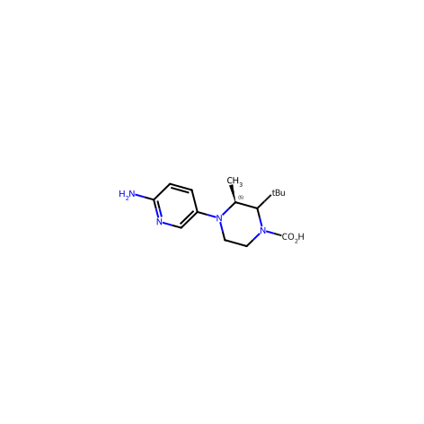 C[C@H]1C(C(C)(C)C)N(C(=O)O)CCN1c1ccc(N)nc1